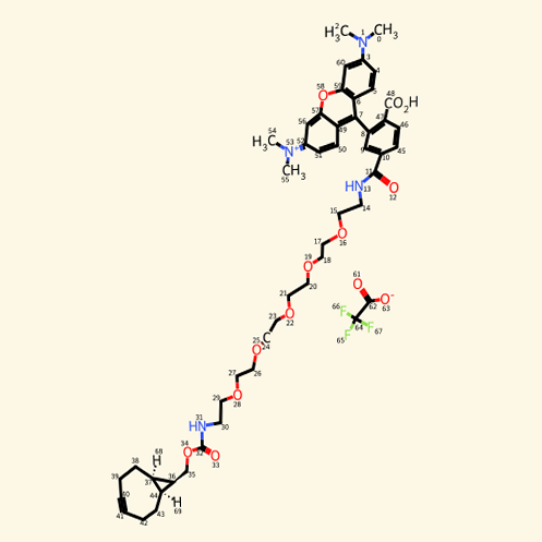 CN(C)c1ccc2c(-c3cc(C(=O)NCCOCCOCCOCCOCCOCCNC(=O)OC[C@@H]4[C@@H]5CCC#CCC[C@@H]54)ccc3C(=O)O)c3ccc(=[N+](C)C)cc-3oc2c1.O=C([O-])C(F)(F)F